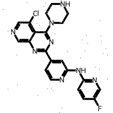 Fc1ccc(Nc2cc(-c3nc(N4CCNCC4)c4c(Cl)cncc4n3)ccn2)nc1